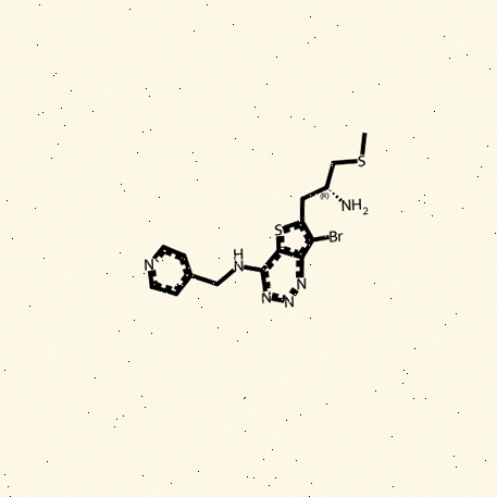 CSC[C@H](N)Cc1sc2c(NCc3ccncc3)nnnc2c1Br